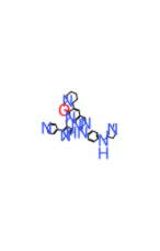 CN1CCC(Nc2ccc(Nc3ncc4cc(C5CCCCN5C)c(=O)n(Cc5ccn(C)c5-c5ccncc5)c4n3)cc2)C1